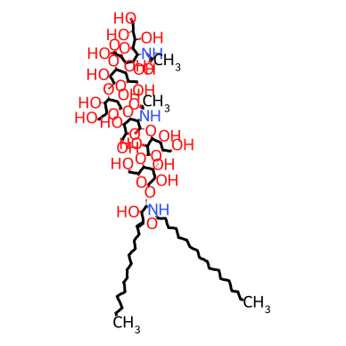 CCCCCCCCCCCCC/C=C/[C@@H](O)[C@H](CO[C@@H]1OC(CO)[C@@H](O[C@@H]2OC(CO)[C@H](O)[C@H](O[C@@H]3OC(CO)[C@@H](O)[C@H](O[C@@H]4OC(CO)[C@H](O)[C@H](O[C@@H]5OC(CO)[C@H](O)[C@H](O[C@]6(C(=O)O)CC(O)[C@@H](NC(C)=O)C([C@H](O)[C@H](O)CO)O6)C5O)C4O)C3NC(C)=O)C2O)[C@H](O)C1O)NC(=O)CCCCCCCCCCCCCCCCC